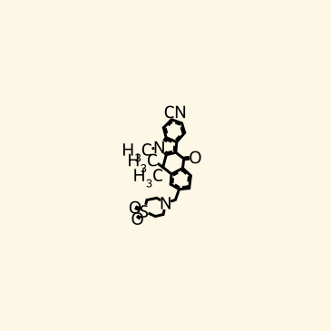 Cn1c2c(c3ccc(C#N)cc31)C(=O)c1ccc(CN3CCS(=O)(=O)CC3)cc1C2(C)C